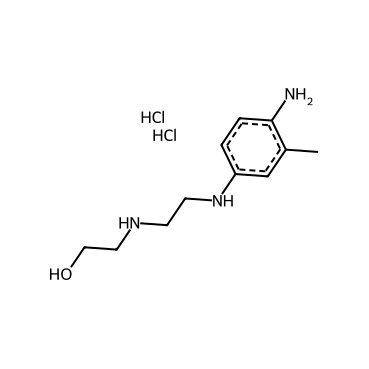 Cc1cc(NCCNCCO)ccc1N.Cl.Cl